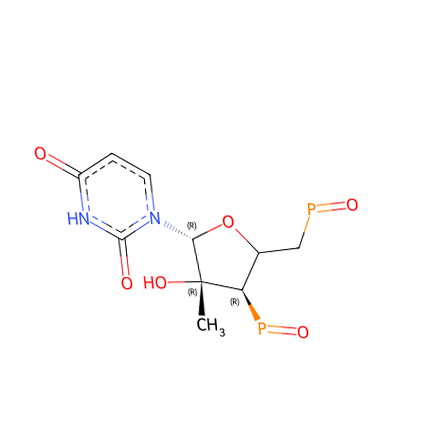 C[C@]1(O)[C@H](P=O)C(CP=O)O[C@H]1n1ccc(=O)[nH]c1=O